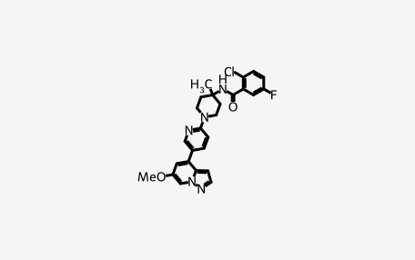 COc1cc(-c2ccc(N3CCC(C)(NC(=O)c4cc(F)ccc4Cl)CC3)nc2)c2ccnn2c1